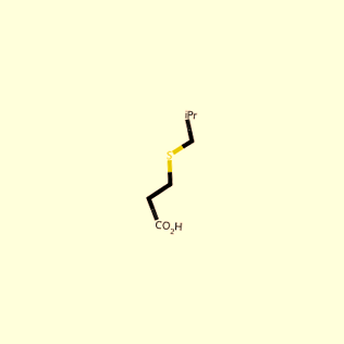 [CH2]C(C)CSCCC(=O)O